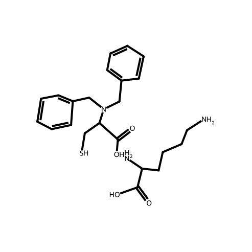 NCCCCC(N)C(=O)O.O=C(O)C(CS)N(Cc1ccccc1)Cc1ccccc1